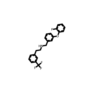 Fc1ccccc1Oc1cccc(CNCCc2cccc(C(F)(F)F)c2)c1